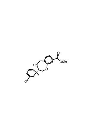 COC(=O)c1ccc2c(c1)OC[C@H](C1(C)C=CC=C(Cl)C1)NC2